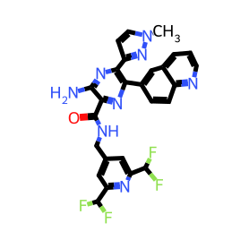 Cn1ccc(-c2nc(N)c(C(=O)NCc3cc(C(F)F)nc(C(F)F)c3)nc2-c2ccc3ncccc3c2)n1